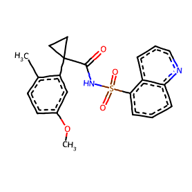 COc1ccc(C)c(C2(C(=O)NS(=O)(=O)c3cccc4ncccc34)CC2)c1